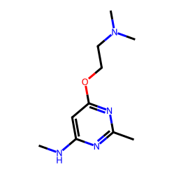 CNc1cc(OCCN(C)C)nc(C)n1